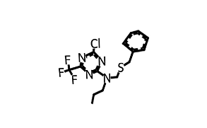 CCCN(CSCc1ccccc1)c1nc(Cl)nc(C(F)(F)F)n1